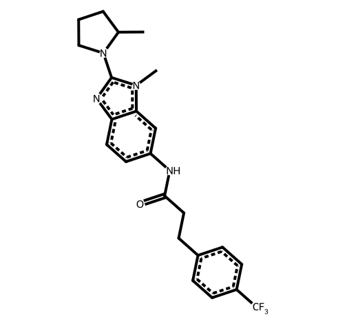 CC1CCCN1c1nc2ccc(NC(=O)CCc3ccc(C(F)(F)F)cc3)cc2n1C